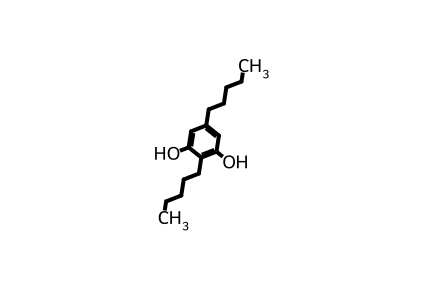 CCCCCc1cc(O)c(CCCCC)c(O)c1